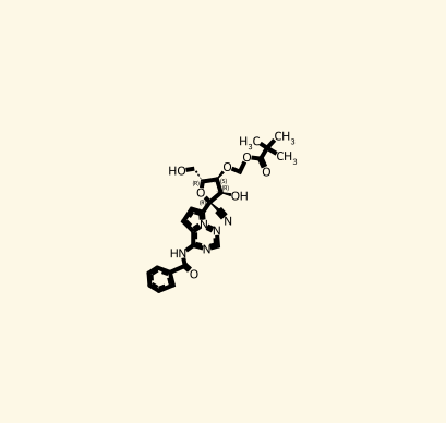 CC(C)(C)C(=O)OCO[C@H]1[C@@H](O)[C@](C#N)(c2ccc3c(NC(=O)c4ccccc4)ncnn23)O[C@@H]1CO